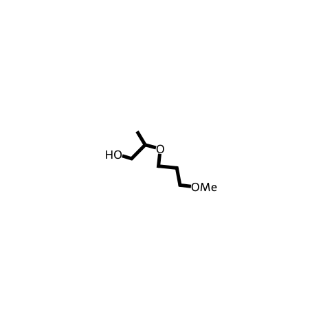 COCCCOC(C)CO